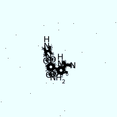 Cc1ccc(-c2cc(S(=O)(=O)N3CC4CNCC4C3)ccc2S(N)(=O)=O)c2[nH]cc(C#N)c12